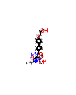 CCCNC(=O)C(NC(=O)c1ccc(-c2ccc(OCCO)cc2)cc1)C(=O)NO